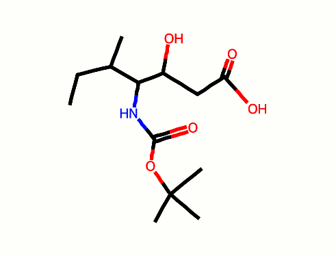 CCC(C)C(NC(=O)OC(C)(C)C)C(O)CC(=O)O